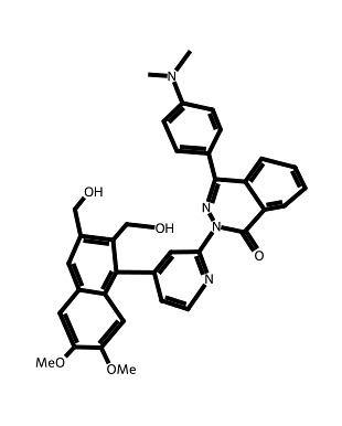 COc1cc2cc(CO)c(CO)c(-c3ccnc(-n4nc(-c5ccc(N(C)C)cc5)c5ccccc5c4=O)c3)c2cc1OC